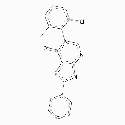 Cc1cccc(Cl)c1-n1cnc2nc(-c3ccccc3)sc2c1=O